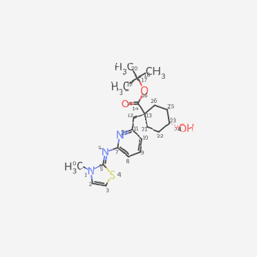 Cn1ccs/c1=N\c1cccc(C[C@]2(C(=O)OC(C)(C)C)CC[C@@H](O)CC2)n1